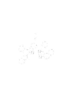 CC1CC=CC=C1c1ccc2c(c1)c1c3ccccc3c3c4ccccc4sc3c1n2Cc1nc(-c2ccccc2)c2c(ccc3ccccc32)n1